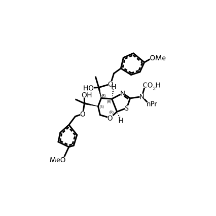 CCCN(C(=O)O)C1=N[C@@H]2[C@H](C(C)(O)OCc3ccc(OC)cc3)[C@H](C(C)(O)OCc3ccc(OC)cc3)CO[C@@H]2S1